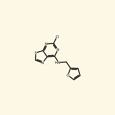 Clc1nc(NCc2ccco2)c2ncsc2n1